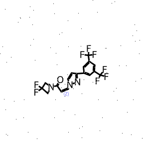 O=C(/C=C\n1ccc(-c2cc(C(F)(F)F)cc(C(F)(F)F)c2)n1)N1CC(F)(F)C1